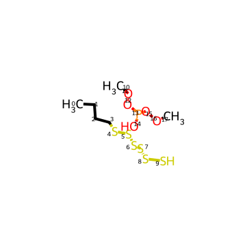 CCCCSSSSSS.COOP(O)OOC